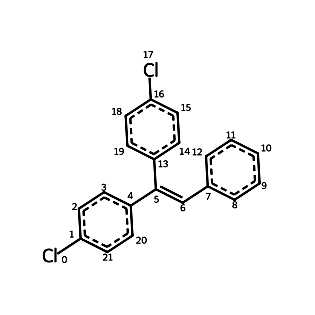 Clc1ccc(C(=Cc2ccccc2)c2ccc(Cl)cc2)cc1